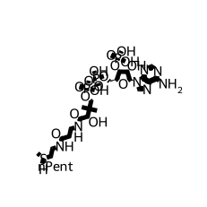 CCCCC[SH](C)CCNC(=O)CCNC(=O)[C@H](O)C(C)(C)COP(=O)(O)OP(=O)(O)OC[C@H]1O[C@@H](n2cnc3c(N)ncnc32)[C@H](O)[C@@H]1OP(=O)(O)O